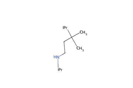 CC(C)NCCC(C)(C)C(C)C